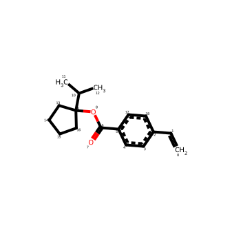 C=Cc1ccc(C(=O)OC2(C(C)C)CCCC2)cc1